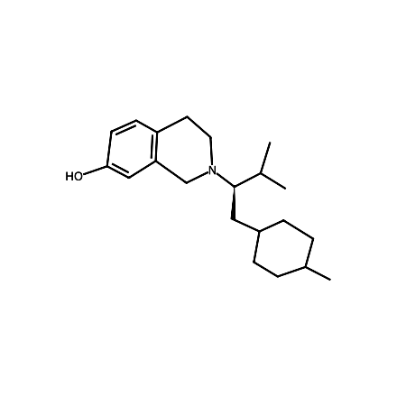 CC1CCC(C[C@H](C(C)C)N2CCc3ccc(O)cc3C2)CC1